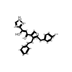 O=C(C=C(O)c1nc[nH]n1)c1coc(Cc2ccc(F)cc2)c1CCc1ccccc1